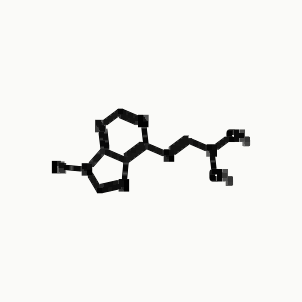 [CH2]Cn1cnc2c(N=CN(C)C)ncnc21